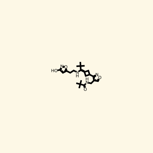 CC(C)(C)C(=O)NCc1conc1C1CC(=C(NCCc2cc(O)no2)C(C)(C)C)C1